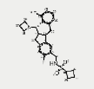 O=S(=O)(NCc1cc2c(cc1F)CC(CN1CCC1)C2Cc1cccc(F)c1)C1CCC1